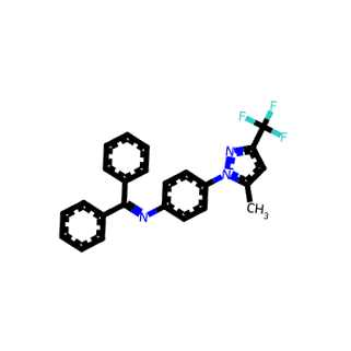 Cc1cc(C(F)(F)F)nn1-c1ccc(N=C(c2ccccc2)c2ccccc2)cc1